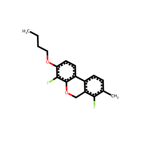 CCCCOc1ccc2c(c1F)OCc1c-2ccc(C)c1F